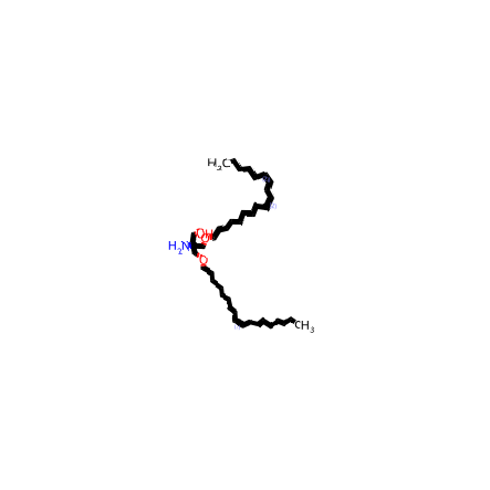 CCCCCC=CC/C=C\CCCCCCCCOCC(N)(CO)COCCCCCCCC/C=C\C/C=C\CCCCC